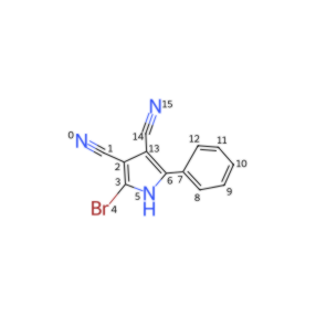 N#Cc1c(Br)[nH]c(-c2ccccc2)c1C#N